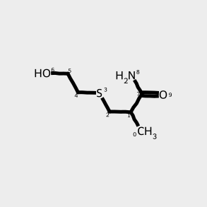 CC(CSCCO)C(N)=O